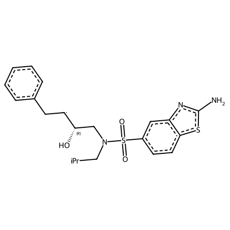 CC(C)CN(C[C@H](O)[CH]Cc1ccccc1)S(=O)(=O)c1ccc2sc(N)nc2c1